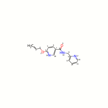 C=CCOc1ccc(C(=O)NCc2ccccn2)cn1